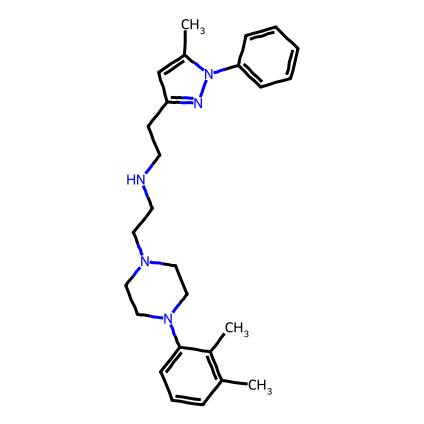 Cc1cccc(N2CCN(CCNCCc3cc(C)n(-c4ccccc4)n3)CC2)c1C